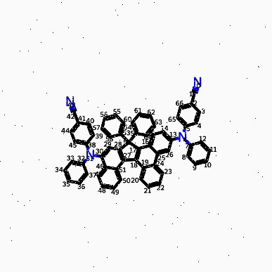 N#Cc1ccc(N(c2ccccc2)c2ccc3c4c(c5ccccc5c3c2)-c2c(cc(N(c3ccccc3)c3ccc(C#N)cc3)c3ccccc23)C4(c2ccccc2)c2ccccc2)cc1